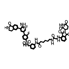 Nc1ncc(-c2ccc(S(=O)(=O)Nc3cccc(NC(=O)CCCCCNC(=O)CNc4cccc5c4C(=O)N(C4CCC(=O)NC4=O)C5=O)c3)cc2F)cc1-c1ccc2c(c1)CCNC2=O